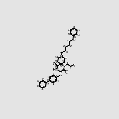 CCCN1C(=O)[C@H](Cc2ccc(-c3ccccc3)cc2)NC(=O)C12CCN(CCCCCCc1ccccc1)CC2